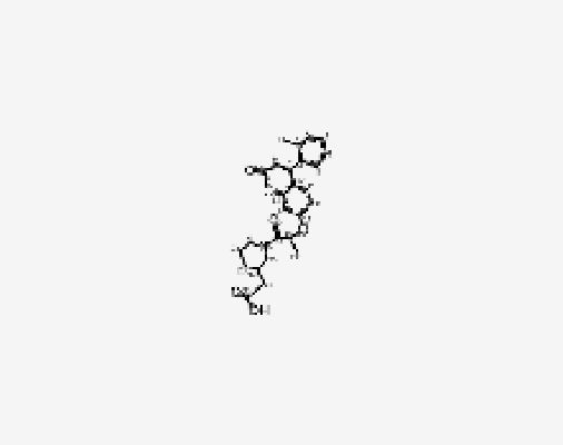 Cc1ccccc1-c1cc(=O)oc2cc(OC(C)C(=O)N3CCCC(CC(=O)O)C3)ccc12